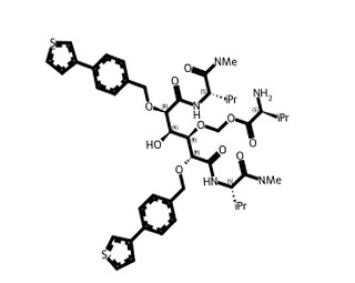 CNC(=O)[C@@H](NC(=O)[C@H](OCc1ccc(-c2ccsc2)cc1)[C@H](O)[C@@H](OCOC(=O)[C@@H](N)C(C)C)[C@@H](OCc1ccc(-c2ccsc2)cc1)C(=O)N[C@H](C(=O)NC)C(C)C)C(C)C